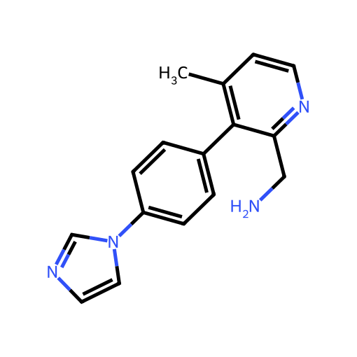 Cc1ccnc(CN)c1-c1ccc(-n2ccnc2)cc1